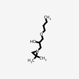 CCCCOCC(O)CN1CC1(C)C